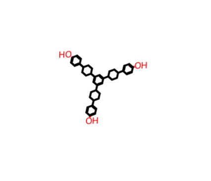 Oc1ccc(C2CCC(c3cc(C4CCC(c5ccc(O)cc5)CC4)cc(C4CCC(c5ccc(O)cc5)CC4)c3)CC2)cc1